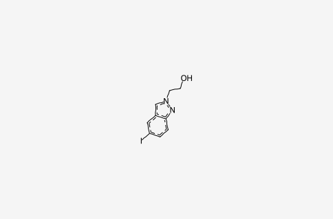 OCCn1cc2cc(I)ccc2n1